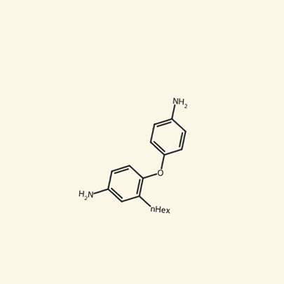 CCCCCCc1cc(N)ccc1Oc1ccc(N)cc1